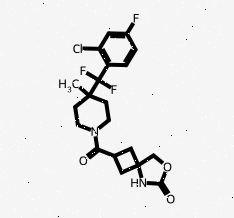 CC1(C(F)(F)c2ccc(F)cc2Cl)CCN(C(=O)C2CC3(COC(=O)N3)C2)CC1